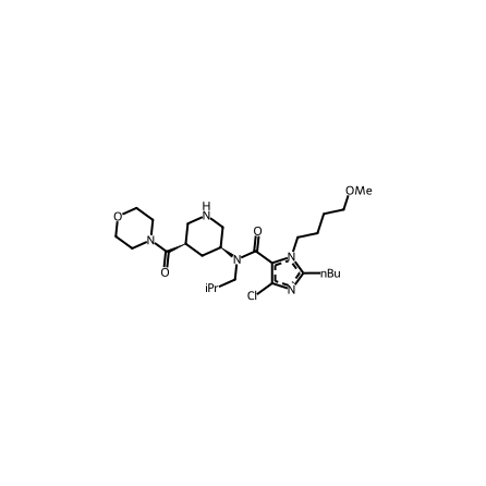 CCCCc1nc(Cl)c(C(=O)N(CC(C)C)[C@@H]2CNC[C@H](C(=O)N3CCOCC3)C2)n1CCCCOC